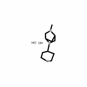 CN1CC2CC1CN2C1CCNCC1.Cl.Cl